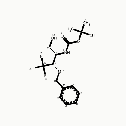 CC(C)(C)OC(=O)N[C@@H](CO)[C@H](OCc1ccccc1)C(F)(F)F